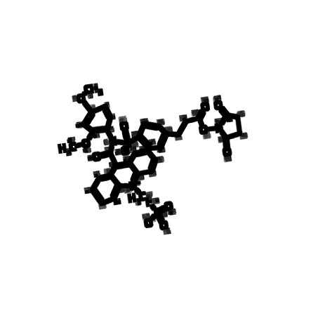 COc1ccc(N(C(=O)c2c3ccccc3[n+](C)c3ccccc23)S(=O)(=O)c2ccc(CCC(=O)ON3C(=O)CCC3=O)cc2)c(OC)c1.O=S(=O)([O-])F